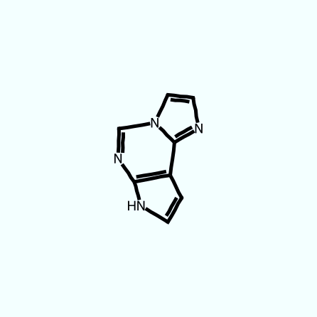 c1cn2cnc3[nH]ccc3c2n1